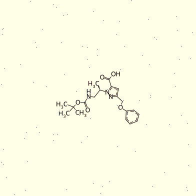 C[C@H](CNC(=O)OC(C)(C)C)n1nc(COc2ccccc2)cc1C(=O)O